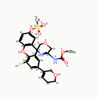 CC(C)(C)OC(=O)NC1=NC2(COC1)c1cc(OS(=O)(=O)C(F)(F)F)ccc1Oc1c(F)cc(C3=CCCOC3)cc12